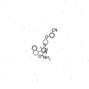 Cc1c(N2CCC(Oc3cccc(C#N)c3)CC2)nnc(C(N)=O)c1C1CCCc2ccccc21